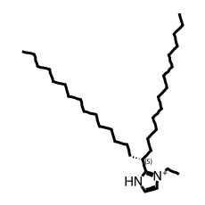 CCCCCCCCCCCCCCC[C@H](CCCCCCCCCCCCCC)c1[nH]cc[n+]1CC